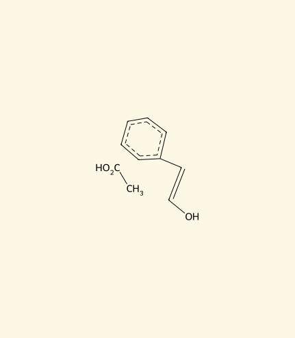 CC(=O)O.OC=Cc1ccccc1